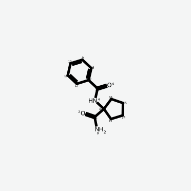 NC(=O)C1(NC(=O)c2ccccc2)CCCC1